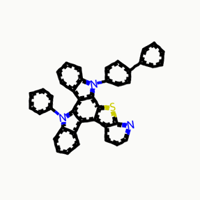 c1ccc(-c2ccc(-n3c4ccccc4c4c3c3sc5ncccc5c3c3c5ccccc5n(-c5ccccc5)c34)cc2)cc1